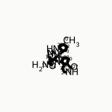 Cc1ccc(C)c(Nc2ncc(C(N)=O)c(Nc3cccc4c3CCNC4=O)n2)c1